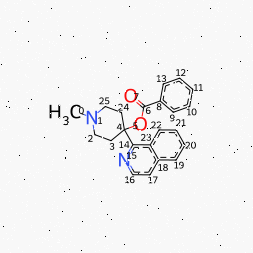 CN1CCC(OC(=O)c2ccccc2)(c2nccc3ccccc23)CC1